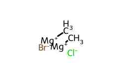 [Br-].[CH3][Mg+].[CH3][Mg+].[Cl-]